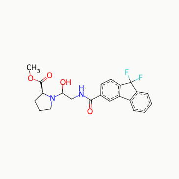 COC(=O)[C@@H]1CCCN1C(O)CNC(=O)c1ccc2c(c1)-c1ccccc1C2(F)F